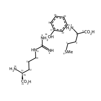 CSCCC(N)C(=O)O.N=C(N)NCCC[C@H](N)C(=O)O.Oc1ccccc1